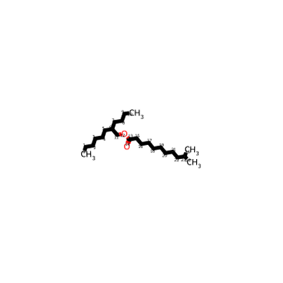 CCCCCCC(CCCC)COC(=O)CCCCCCCCC(C)C